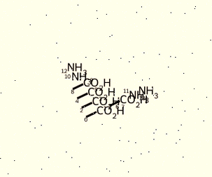 CC(=O)O.CC(=O)O.CC(=O)O.CC(=O)O.CC(=O)O.N.N.N.N